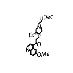 CCCCCCCCCCCCN1CC[C@@H](CCC(=O)c2ccnc3ccc(OC)cc23)[C@@H](CC)C1